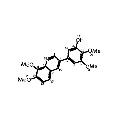 COc1cc(-c2cnc3c(OC)c(OC)ccc3c2)cc(O)c1OC